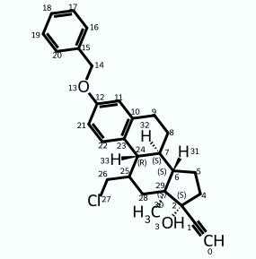 C#C[C@]1(O)CC[C@H]2[C@@H]3CCc4cc(OCc5ccccc5)ccc4[C@H]3C(CCl)C[C@@]21C